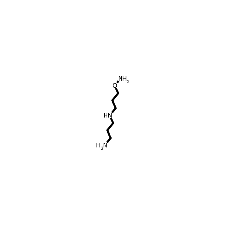 NCCCNCCCON